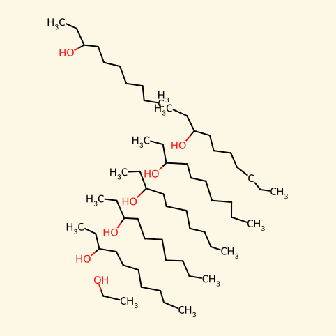 CCCCCCCC(O)CC.CCCCCCCC(O)CC.CCCCCCCC(O)CC.CCCCCCCC(O)CC.CCCCCCCC(O)CC.CCCCCCCC(O)CC.CCO